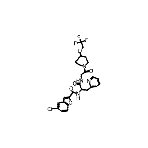 O=C(NC(Cc1ccccn1)C(=O)NCC(=O)N1CCC(OCC(F)(F)F)CC1)c1cc2cc(Cl)ccc2o1